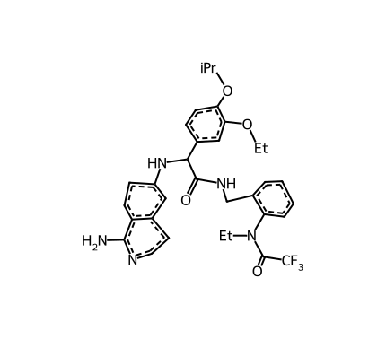 CCOc1cc(C(Nc2ccc3c(N)nccc3c2)C(=O)NCc2ccccc2N(CC)C(=O)C(F)(F)F)ccc1OC(C)C